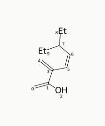 C=C(O)C(=C)/C=C\C(CC)CC